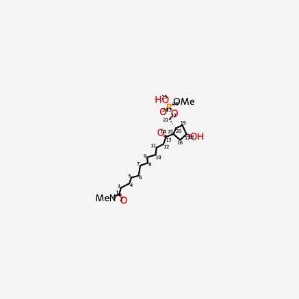 CNC(=O)CCCCCCCCCCC(=O)C1C[C@H](O)C[C@H]1COP(=O)(O)OC